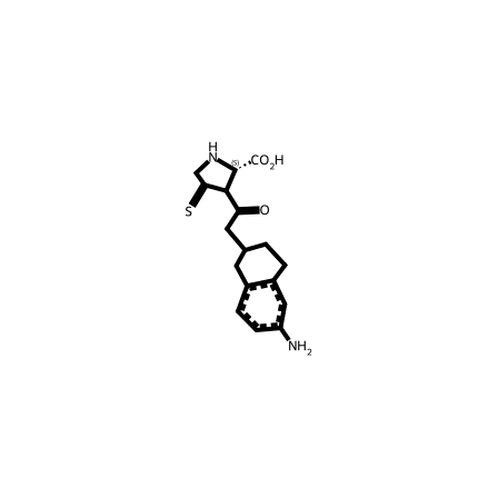 Nc1ccc2c(c1)CCC(CC(=O)C1C(=S)CN[C@@H]1C(=O)O)C2